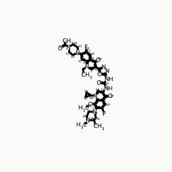 CCn1cc(-c2nnc(NC(=O)Nc3cn(C4CC4)c4c(OC)c(N5CCN(C)C(C)C5)c(F)cc4c3=O)o2)c(=O)c2cc(F)c(N3CCN(C(C)=O)CC3)cc21